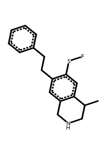 CC1CNCc2cc(CCc3ccccc3)c(SF)cc21